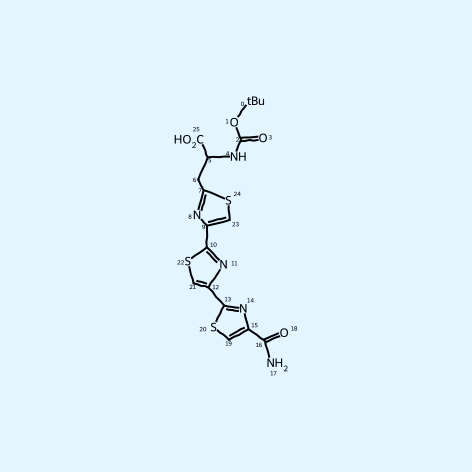 CC(C)(C)OC(=O)NC(Cc1nc(-c2nc(-c3nc(C(N)=O)cs3)cs2)cs1)C(=O)O